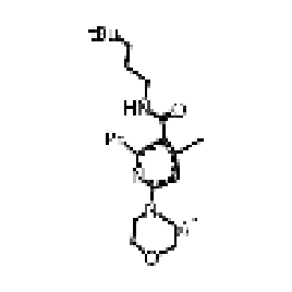 Cc1cc(N2CCOC[C@H]2C)nc(C(C)C)c1C(=O)NCCCC(C)(C)C